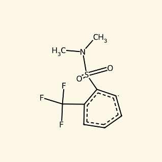 CN(C)S(=O)(=O)c1[c]cccc1C(F)(F)F